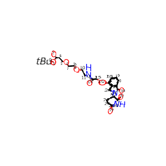 CC(C)(C)OC(=O)CCOCCOCCNC(=O)COc1cccc2c1CN(C1CCC(=O)NC1=O)C2=O